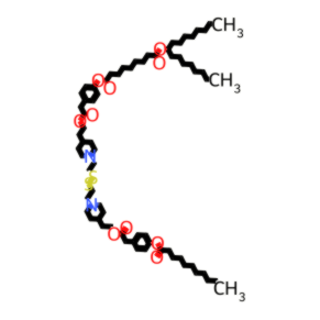 CCCCCCCCCCC(=O)Oc1ccc(CC(=O)OCCC2CCN(CCSSCCN3CCC(CCOC(=O)Cc4ccc(OC(=O)CCCCCCCC(=O)OC(CCCCCCCC)CCCCCCCC)cc4)CC3)CC2)cc1